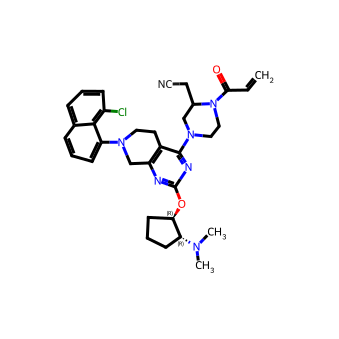 C=CC(=O)N1CCN(c2nc(O[C@@H]3CCC[C@H]3N(C)C)nc3c2CCN(c2cccc4cccc(Cl)c24)C3)CC1CC#N